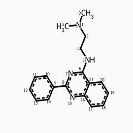 CN(C)CCNc1nc(-c2ccccc2)nc2ccccc12